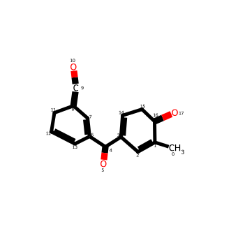 CC1=CC(C(=O)C2=CC(=C=O)CC=C2)=CCC1=O